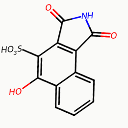 O=C1NC(=O)c2c1c(S(=O)(=O)O)c(O)c1ccccc21